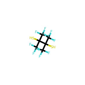 FC(F)(F)C(S)(C(F)(F)F)C(S)(C(F)(F)F)C(F)(F)F